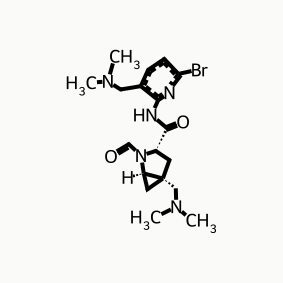 CN(C)Cc1ccc(Br)nc1NC(=O)[C@@H]1C[C@@]2(CN(C)C)C[C@H]2N1C=O